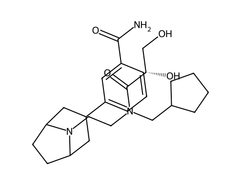 NC(=O)c1cccc(C2CC3CCC(C2)N3CCN(CC2CCCC2)C(=O)[C@@H](O)CO)c1